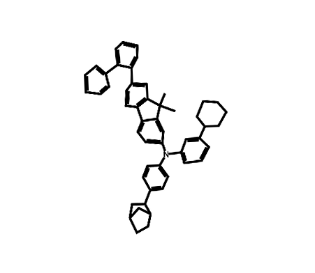 CC1(C)c2cc(-c3ccccc3-c3ccccc3)ccc2-c2ccc(N(c3ccc(C4CC5CCC4C5)cc3)c3cccc(C4CCCCC4)c3)cc21